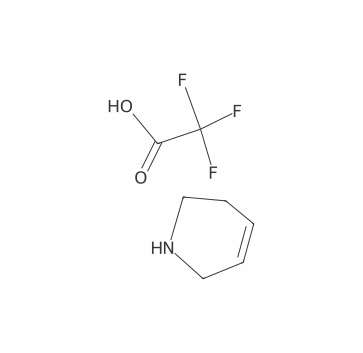 C1=CCNCC1.O=C(O)C(F)(F)F